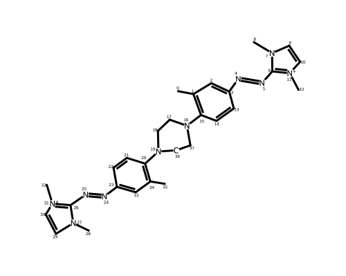 Cc1cc(N=Nc2n(C)cc[n+]2C)ccc1N1CCN(c2ccc(N=Nc3n(C)cc[n+]3C)cc2C)CC1